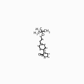 CC(C)(C)OCCCN1CCC(N2CCCC2=O)CC1